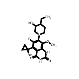 CCC1CCN(c2c(F)c(C3(N)CC3)c3c(=O)[nH]c(=O)[nH]c3c2OC)CC1O